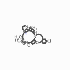 CO[C@@]1(c2ncccn2)/C=C/C[C@H](C)[C@@H](C)S(=O)(=O)NC(=O)c2ccc3c(c2)N(CCCCc2cc(Cl)ccc2CO3)C[C@@H]2CC[C@H]21